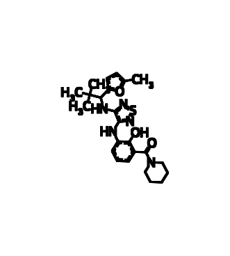 Cc1ccc(C(Nc2nsnc2Nc2cccc(C(=O)N3CCCCC3)c2O)C(C)(C)C)o1